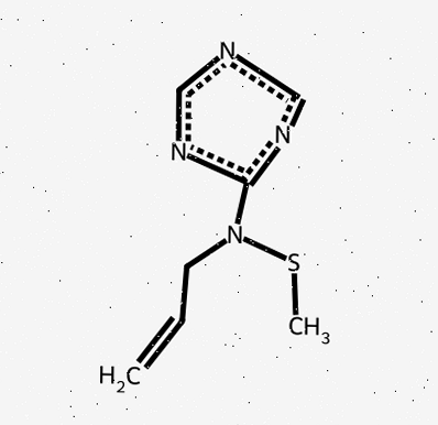 C=CCN(SC)c1ncncn1